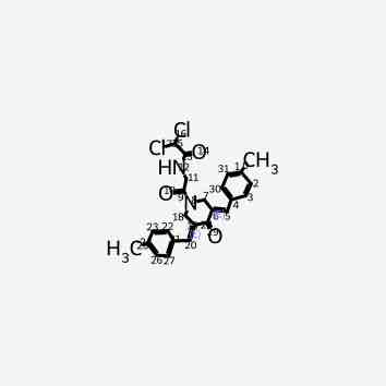 Cc1ccc(/C=C2\CN(C(=O)CNC(=O)C(Cl)Cl)C/C(=C\c3ccc(C)cc3)C2=O)cc1